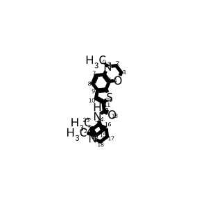 CN1CCOc2c1ccc1cc(C(=O)NC3C4CCN(CC4)C3(C)C)sc21